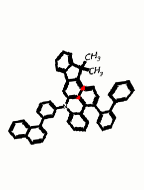 CC1(C)c2ccccc2-c2cc(N(c3cccc(-c4cccc5ccccc45)c3)c3ccccc3-c3ccccc3-c3ccccc3-c3ccccc3)ccc21